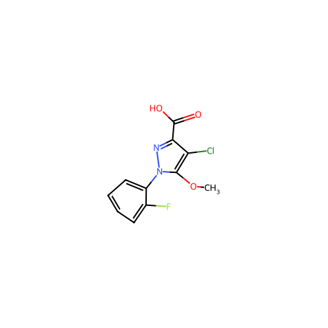 COc1c(Cl)c(C(=O)O)nn1-c1ccccc1F